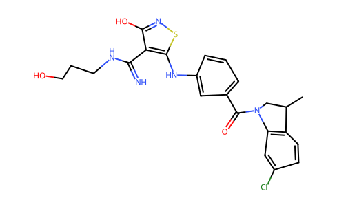 CC1CN(C(=O)c2cccc(Nc3snc(O)c3C(=N)NCCCO)c2)c2cc(Cl)ccc21